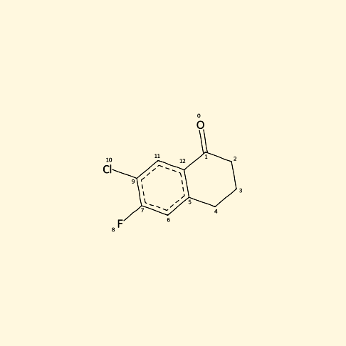 O=C1CCCc2cc(F)c(Cl)cc21